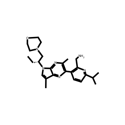 CC[C@H](CN1CCOCC1)n1cc(C)c2nc(-c3ccc(C(C)C)nc3CN)c(C)nc21